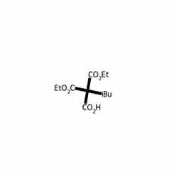 CCOC(=O)C(C(=O)O)(C(=O)OCC)C(C)CC